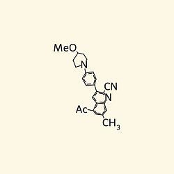 COC1CCN(c2ccc(-c3cc4c(C(C)=O)cc(C)cc4nc3C#N)cc2)CC1